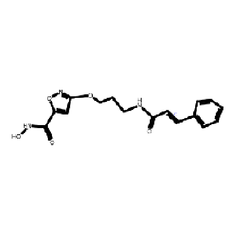 O=C(/C=C/c1ccccc1)NCCCOc1cc(C(=O)NO)on1